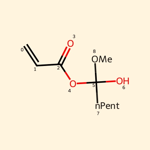 C=CC(=O)OC(O)(CCCCC)OC